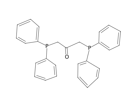 O=C(CP(c1ccccc1)c1ccccc1)CP(c1ccccc1)c1ccccc1